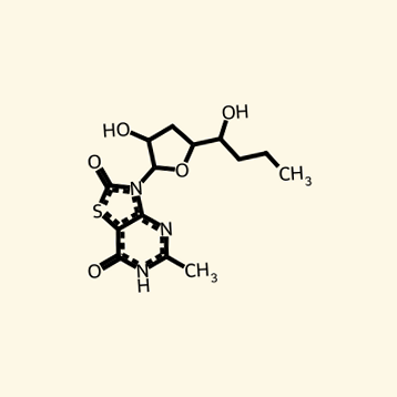 CCCC(O)C1CC(O)C(n2c(=O)sc3c(=O)[nH]c(C)nc32)O1